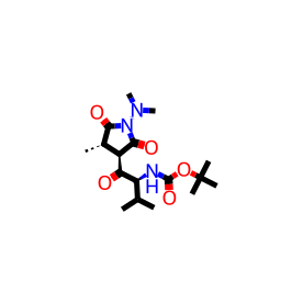 CC(C)[C@H](NC(=O)OC(C)(C)C)C(=O)[C@@H]1C(=O)N(N(C)C)C(=O)[C@H]1C